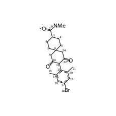 CNC(=O)C1CCC2(CC1)CC(=O)C(c1c(C)cc(Br)cc1C)C(=O)C2